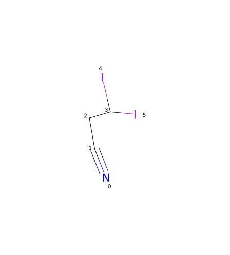 N#CCC(I)I